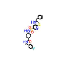 C[C@@H](NC(=O)C1CCC(NS(=O)(=O)c2cnc3c(c2)N[C@@H](Cc2ccccc2)CS3)CC1)c1ccc(F)cc1